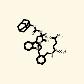 CC(Cc1c[nH]c2ccccc12)(NC(=O)OC1C2CC3CC(C2)CC1C3)C(=O)NCCc1ccccc1CN[C@@H](CCC(N)=O)C(=O)O